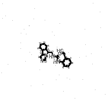 C#Cc1ccccc1NC(=O)NCC1c2ccccc2-c2cncn21